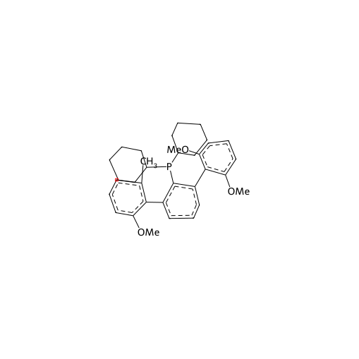 COc1cccc(C)c1-c1cccc(-c2c(OC)cccc2OC)c1P(C1CCCCC1)C1CCCCC1